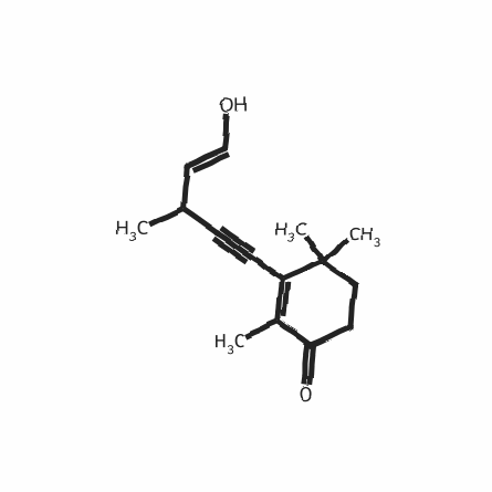 CC1=C(C#CC(C)C=CO)C(C)(C)CCC1=O